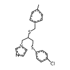 Cc1ccc(CSC(CSc2ccc(Cl)cc2)Cn2ccnc2)cc1